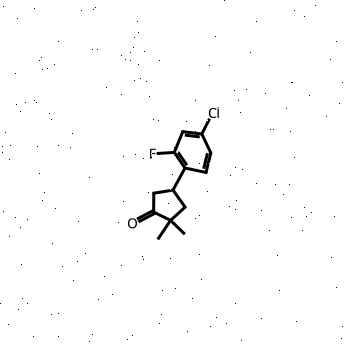 CC1(C)CC(c2ccc(Cl)cc2F)CC1=O